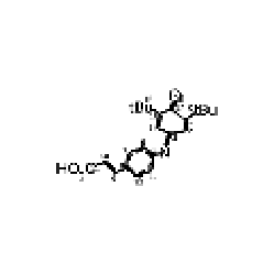 CC(C)(C)C1=CC(=Nc2ccc(C=CC(=O)O)cc2)C=C(C(C)(C)C)C1=O